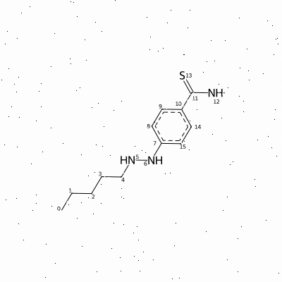 CCCCCNNc1ccc(C([NH])=S)cc1